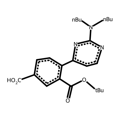 CCCCN(CCCC)c1nccc(-c2ccc(C(=O)O)cc2C(=O)OC(C)(C)C)n1